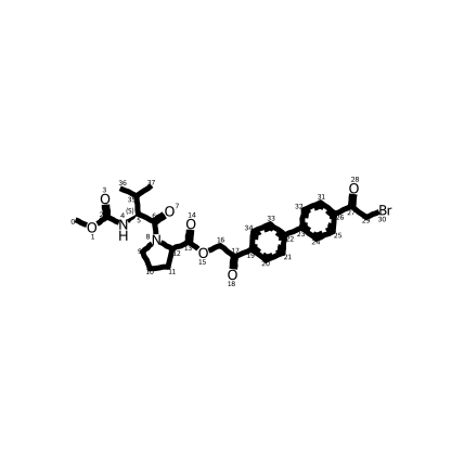 COC(=O)N[C@H](C(=O)N1CCCC1C(=O)OCC(=O)c1ccc(-c2ccc(C(=O)CBr)cc2)cc1)C(C)C